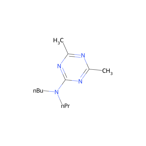 CCCCN(CCC)c1nc(C)nc(C)n1